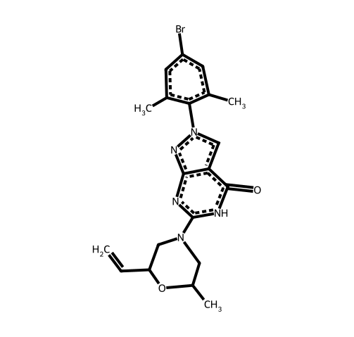 C=CC1CN(c2nc3nn(-c4c(C)cc(Br)cc4C)cc3c(=O)[nH]2)CC(C)O1